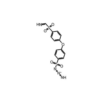 N=CS(=O)(=O)c1ccc(Oc2ccc(S(=O)(=O)N=[N+]=N)cc2)cc1